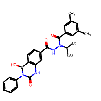 CCC(N(NC(=O)c1ccc2c(c1)NC(=O)N(c1ccccc1)B2O)C(=O)c1cc(C)cc(C)c1)C(C)(C)C